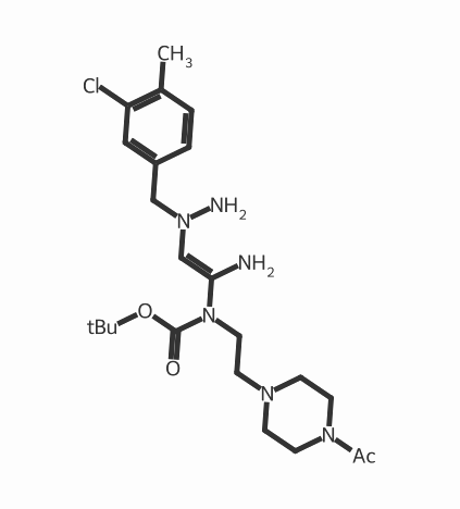 CC(=O)N1CCN(CCN(C(=O)OC(C)(C)C)/C(N)=C/N(N)Cc2ccc(C)c(Cl)c2)CC1